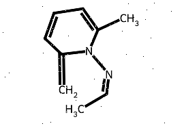 C=C1C=CC=C(C)N1/N=C\C